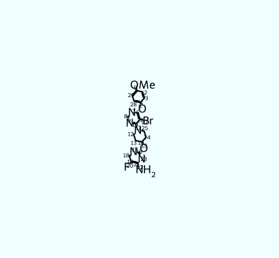 COc1ccc(Oc2ncnc(N3CCC(Oc4ncc(F)c(N)n4)CC3)c2Br)cc1